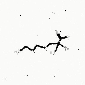 CCCCSCC(C)(N)C(=O)O